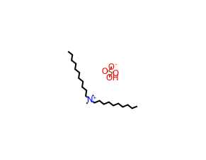 CCCCCCCCCCC[N+](C)(C)CCCCCCCCCC.O=S(=O)([O-])O